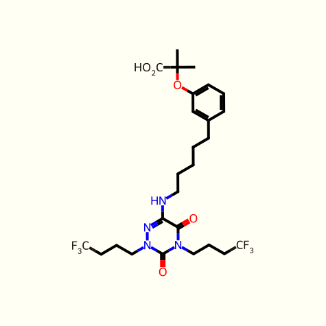 CC(C)(Oc1cccc(CCCCCNc2nn(CCCC(F)(F)F)c(=O)n(CCCC(F)(F)F)c2=O)c1)C(=O)O